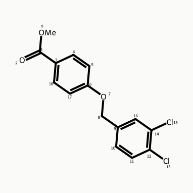 COC(=O)c1ccc(OCc2ccc(Cl)c(Cl)c2)cc1